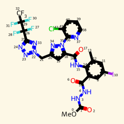 COC(=O)NNC(=O)c1cc(I)cc(C)c1NC(=O)c1cc(Cn2nnc(C(F)(F)C(F)(F)C(F)(F)F)n2)nn1-c1ncccc1Cl